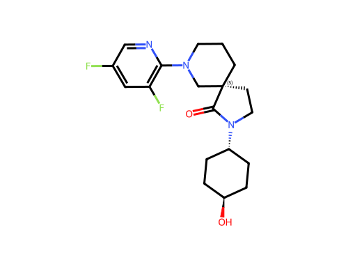 O=C1N([C@H]2CC[C@H](O)CC2)CC[C@]12CCCN(c1ncc(F)cc1F)C2